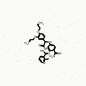 C=CCOc1ccc(C(Nc2ccc(C(=N)N)cc2)C(=O)NNC(=O)c2cccnc2F)cc1OCC=C